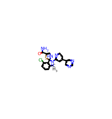 Cc1cccc(Cl)c1C1(Nc2cc(-c3cncnc3)ccn2)NC=C(C(N)=O)S1